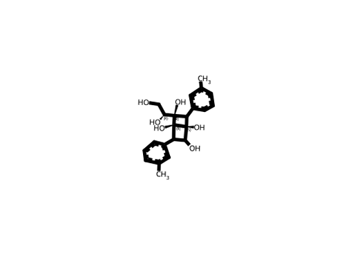 Cc1cccc(C2C(O)[C@@]3(O)C(c4cccc(C)c4)[C@@](O)([C@H](O)CO)[C@@]23O)c1